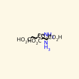 CCN.N.O=C(O)CCC(=O)O.O=C(O)CCC(=O)O